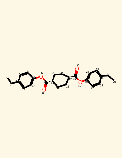 CCc1ccc(OC(=O)[C@H]2CC[C@H](C(=O)Oc3ccc(CC)cc3)CC2)cc1